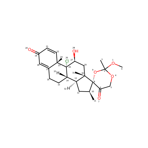 COC1(C)OCC(=O)[C@@]2(O1)[C@@H](C)C[C@H]1[C@@H]3CCC4=CC(=O)C=C[C@]4(C)[C@@]3(Cl)[C@@H](O)C[C@@]12C